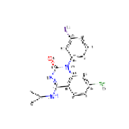 O=c1nc(NC2CC2)c2ccc(Br)cc2n1-c1cccc(I)c1